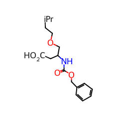 CC(C)CCOCC(CC(=O)O)NC(=O)OCc1ccccc1